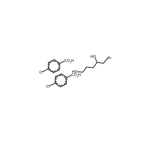 CC(C)CC(O)CCCO.O=C(O)c1ccc(Cl)cc1.O=C(O)c1ccc(Cl)cc1